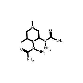 CC1CN(C)CC(N(N)C(N)=O)N1N(N)C(N)=O